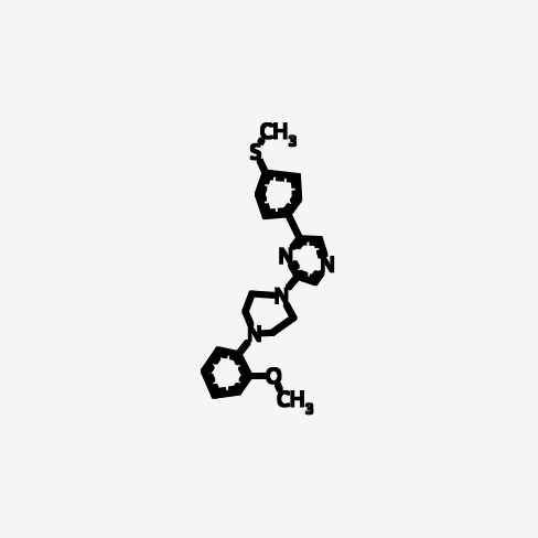 COc1ccccc1N1CCN(c2cncc(-c3ccc(SC)cc3)n2)CC1